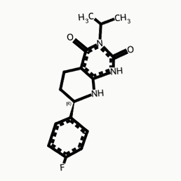 CC(C)n1c(=O)[nH]c2c(c1=O)CC[C@H](c1ccc(F)cc1)N2